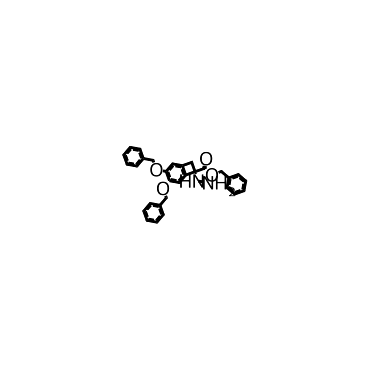 NN[C@]1(C(=O)OCc2ccccc2)Cc2cc(OCc3ccccc3)c(OCc3ccccc3)cc21